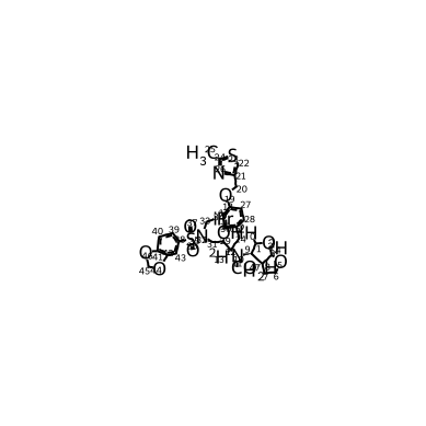 [2H]C1O[C@@]2([2H])OCC[C@H]2[C@H]1N(C(=O)O)[C@@]([2H])(Cc1ccc(OCc2csc(C)n2)cc1)[C@H](O)CN(CC(C)C)S(=O)(=O)c1ccc2c(c1)OCO2